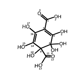 O=C(O)C1=C(O)C(O)(O)C(O)(C(=O)O)C(O)=C1O